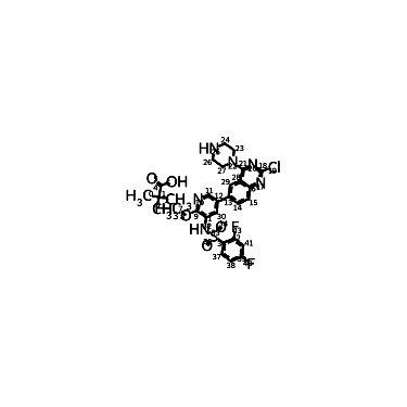 CC(C)(C)C(=O)O.COc1ncc(-c2ccc3nc(Cl)nc(N4CCNCC4)c3c2)cc1NS(=O)(=O)c1ccc(F)cc1F